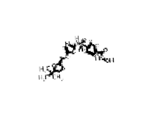 CC(C)(C)c1cnc(CSc2cnc(NS(=O)(=O)c3ccc(C(=O)NO)cc3)s2)o1